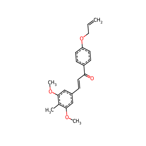 C=CCOc1ccc(C(=O)C=Cc2cc(OC)c(C)c(OC)c2)cc1